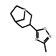 Cc1noc(C2CC3CCN(C3)C2)n1